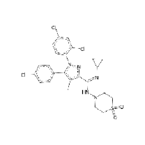 Cc1c(C(=NC2CC2)NN2CCS(=O)(=O)CC2)nn(-c2ccc(Cl)cc2Cl)c1-c1ccc(Cl)cc1